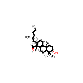 CC(C)CCC[C@@H](C)[C@H]1CC(=O)[C@@]2(C)C3=C(CC[C@]12C)[C@@]1(C)CC[C@H](O)C(C)(C)C1CC3